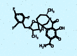 CC1[C@@H](F)[C@]2(CC[C@H](C)N3C[C@H]2n2cc(C(N)=O)c(=O)c(O)c2C3=O)ON1Cc1c(F)cc(F)cc1F